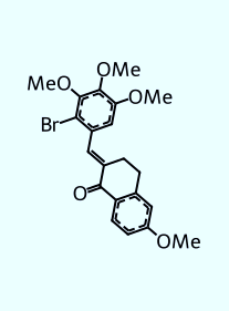 COc1ccc2c(c1)CCC(=Cc1cc(OC)c(OC)c(OC)c1Br)C2=O